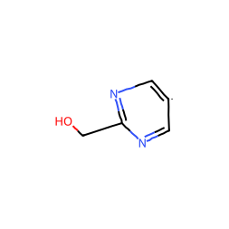 OCc1nc[c]cn1